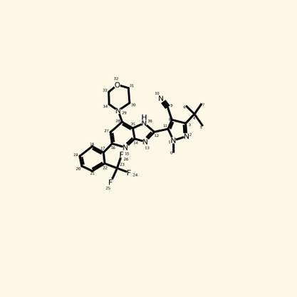 Cn1nc(C(C)(C)C)c(C#N)c1-c1nc2nc(-c3ccccc3C(F)(F)F)cc(N3CCOCC3)c2[nH]1